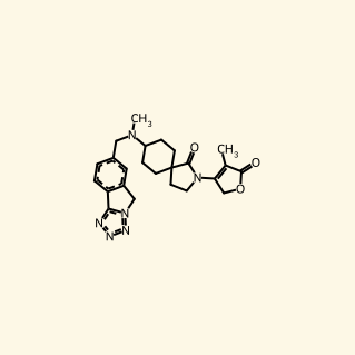 CC1=C(N2CCC3(CCC(N(C)Cc4ccc5c(c4)Cn4nnnc4-5)CC3)C2=O)COC1=O